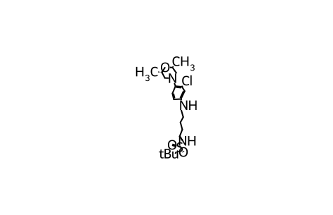 C[C@@H]1CN(c2ccc(NCCCCCNS(=O)(=O)C(C)(C)C)cc2Cl)C[C@H](C)O1